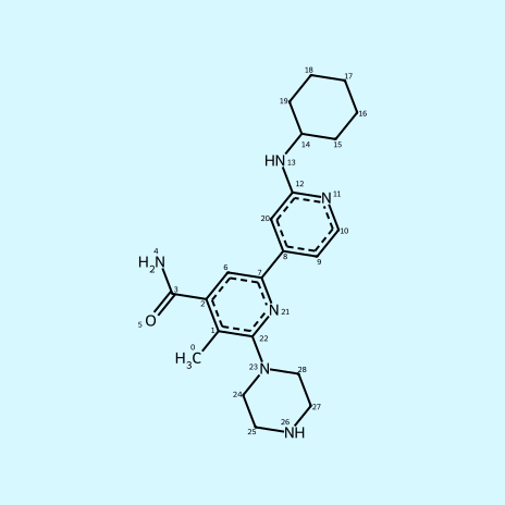 Cc1c(C(N)=O)cc(-c2ccnc(NC3CCCCC3)c2)nc1N1CCNCC1